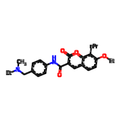 CCCc1c(OCC)ccc2cc(C(=O)Nc3ccc(CN(C)CC)cc3)c(=O)oc12